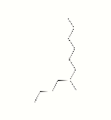 CCCCCCC(C)CCCC